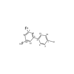 Cc1ccc(-c2cc(F)cc(F)c2)cc1